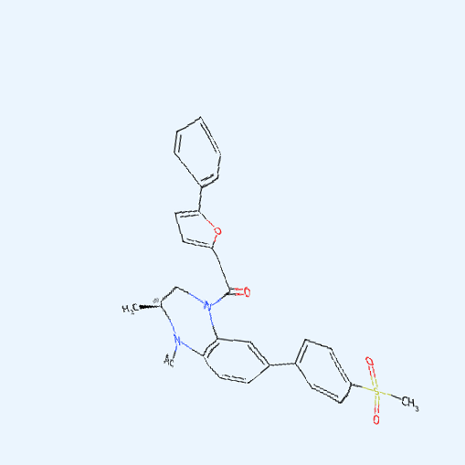 CC(=O)N1c2ccc(-c3ccc(S(C)(=O)=O)cc3)cc2N(C(=O)c2ccc(-c3ccccc3)o2)C[C@@H]1C